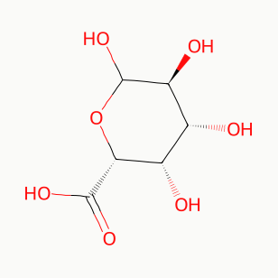 O=C(O)[C@@H]1OC(O)[C@@H](O)[C@H](O)[C@@H]1O